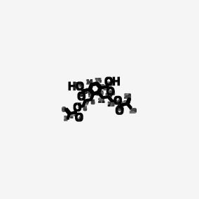 C=C(C)C(=O)OCCCc1c(C(=O)O)ccc(C(=O)O)c1CCCOC(=O)C(=C)C